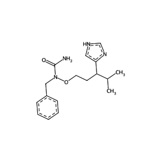 CC(C)C(CCON(Cc1ccccc1)C(N)=O)c1c[nH]cn1